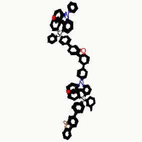 CC1C=C([Si](c2ccc(-c3ccc4c(c3)sc3ccccc34)cc2)(c2cccc3c2c2ccccc2n3C2=CCC(C3C=Cc4oc5c(c4C3)=CCC(C3=CCC([Si](c4ccccc4)(c4cccc6c4c4ccccc4n6-c4ccccc4)C4CC=CCC4)C=C3)C=5)C=C2)C2C=CC=CC2)CCC1